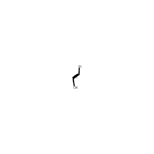 [CH2]C/C=C/C#N